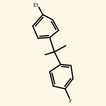 CCc1ccc(C(C)(C)c2ccc(F)cc2)cc1